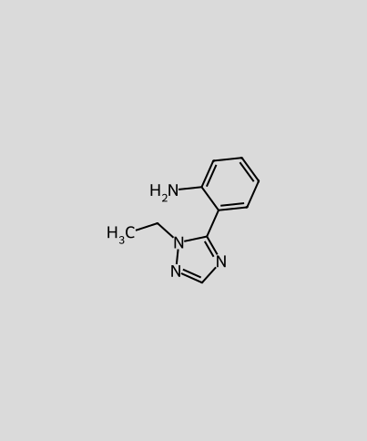 CCn1ncnc1-c1ccccc1N